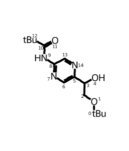 CC(C)(C)OCC(O)c1cnc(NC(=O)C(C)(C)C)cn1